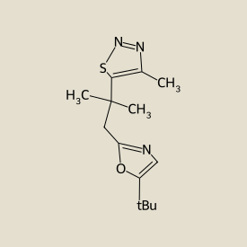 Cc1nnsc1C(C)(C)Cc1ncc(C(C)(C)C)o1